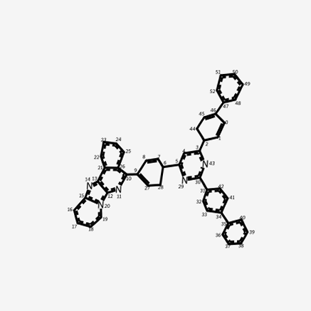 C1=CC(c2cc(C3C=CC(c4nc5c(nc6ccccn65)c5ccccc45)=CC3)nc(-c3ccc(-c4ccccc4)cc3)n2)CC=C1c1ccccc1